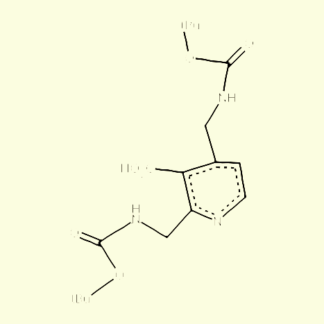 CC(C)(C)OC(=O)NCc1ccnc(CNC(=O)OC(C)(C)C)c1C(=O)O